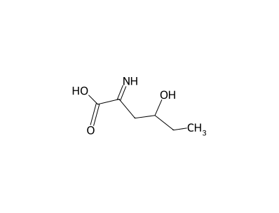 CCC(O)CC(=N)C(=O)O